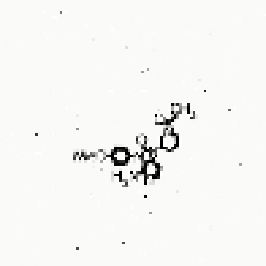 C=CC(=O)N1CCC[C@@H](n2c(=O)n(-c3ccc(OC)cc3)c3c(N)nccc32)C1